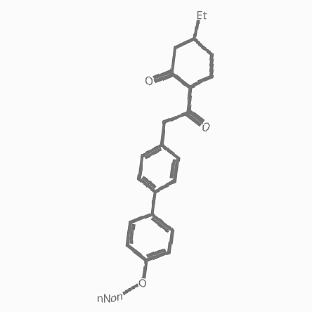 CCCCCCCCCOc1ccc(-c2ccc(CC(=O)C3CCC(CC)CC3=O)cc2)cc1